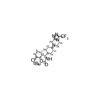 CC(C)(C)OC(=O)NC(c1cccc(Cl)c1)C1CCC(N2CCn3c(nnc3C(F)(F)F)C2)CC1